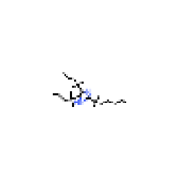 CCCCCC(C)(C)c1nc(C(C)(C)CCC)c(C(C)(C)CCC)[nH]1